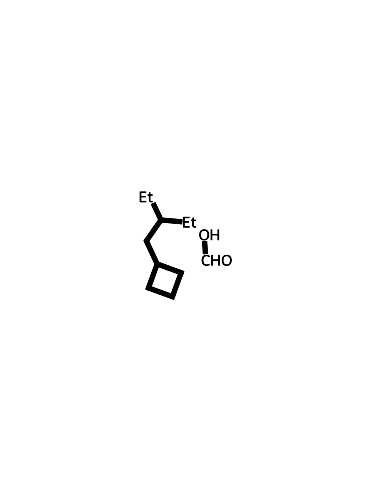 CCC(CC)CC1CCC1.O=CO